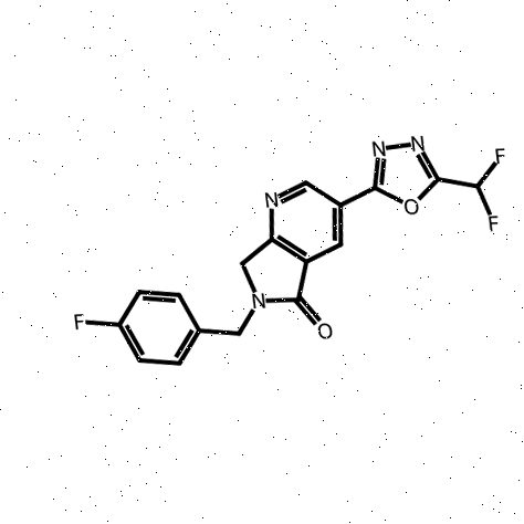 O=C1c2cc(-c3nnc(C(F)F)o3)cnc2CN1Cc1ccc(F)cc1